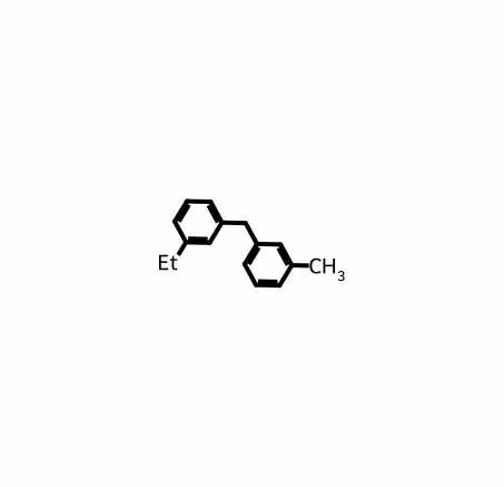 CCc1cccc(Cc2cccc(C)c2)c1